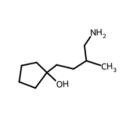 CC(CN)CCC1(O)CCCC1